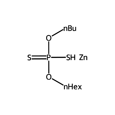 CCCCCCOP(=S)(S)OCCCC.[Zn]